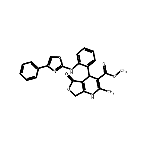 COC(=O)C1=C(C)NC2=C(C(=O)OC2)C1c1ccccc1Nc1nc(-c2ccccc2)cs1